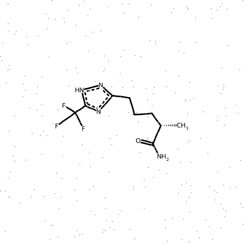 C[C@@H](C[CH]Cc1n[nH]c(C(F)(F)F)n1)C(N)=O